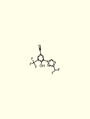 N#Cc1cc(-n2cnc(C(F)F)n2)c(O)c(C(F)(F)F)c1